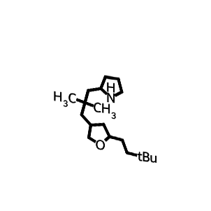 CC(C)(C)CCC1CC(CC(C)(C)CC2CCCN2)CO1